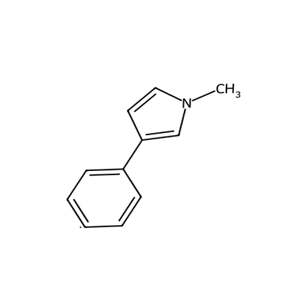 Cn1ccc(-c2cc[c]cc2)c1